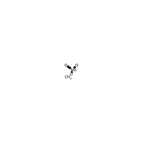 C.[O]=[Mo](=[O])=[O]